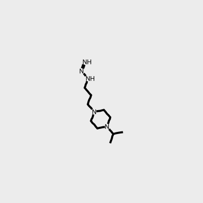 CC(C)N1CCN(CCCNN=N)CC1